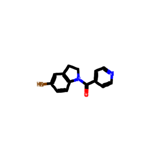 O=C(c1ccncc1)N1CCc2cc(S)ccc21